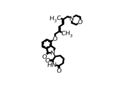 C/C(=C\C=C(/C)CN1CCOCC1)COc1cccc2c1CN([C@H]1CCCC(=O)NC1=O)C2=O